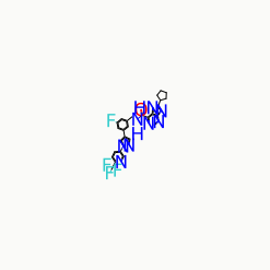 O=C(NCc1cc(F)cc(-c2cnn(-c3ccc(C(F)(F)F)nc3)c2)c1)c1ncnc2nc(C3CCCC3)[nH]c12